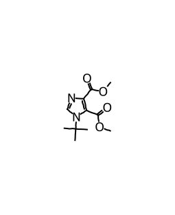 COC(=O)c1ncn(C(C)(C)C)c1C(=O)OC